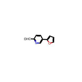 O=Cc1ccc(-c2ccco2)cn1